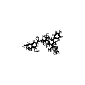 COc1cc(C(=O)NCC(O)(c2nc(-c3ccc(F)cc3)c(F)c(C(C)(C)NS(C)(=O)=O)c2F)C(F)(F)F)cc2cc(C)nnc12